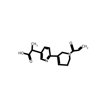 C=CC(=O)N1CCC=C(c2ccc(C(C)C(=O)O)cn2)C1